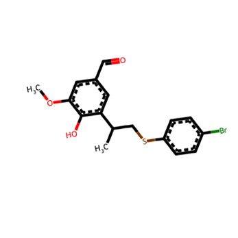 COc1cc(C=O)cc(C(C)CSc2ccc(Br)cc2)c1O